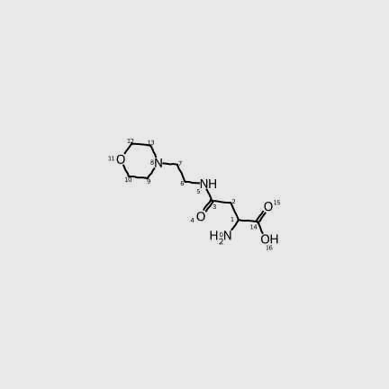 NC(CC(=O)NCCN1CCOCC1)C(=O)O